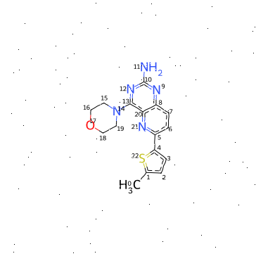 Cc1ccc(-c2ccc3nc(N)nc(N4CCOCC4)c3n2)s1